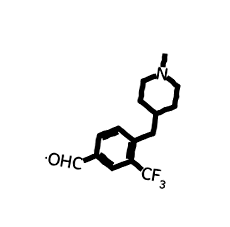 CN1CCC(Cc2ccc([C]=O)cc2C(F)(F)F)CC1